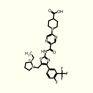 CC[C@@H]1CCCN1Cc1sc(NC(=O)c2cnc(N3CCC(C(=O)O)CC3)cn2)nc1-c1ccc(F)c(C(F)(F)F)c1